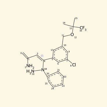 C=C(N)/C=C(/c1cc(Cl)cc(COC(C)(C)C(F)(F)F)c1)N(N)c1ccccc1